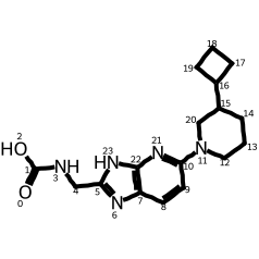 O=C(O)NCc1nc2ccc(N3CCCC(C4CCC4)C3)nc2[nH]1